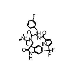 C=[N+](C)[C@@H]1C[C@@]2(CN1C(=O)[C@H](Cc1cccc(F)c1)NC(=O)c1ccc(C(F)(F)F)[nH]1)C(=O)Nc1ccccc12